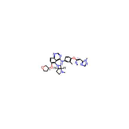 C=N/C(=C\c1ncnn1C)Oc1ccc(Nc2ncnc3ccc(O[C@H]4CCOC4)c(N4C[C@H]5[C@@H]4CCN5C)c23)cc1C